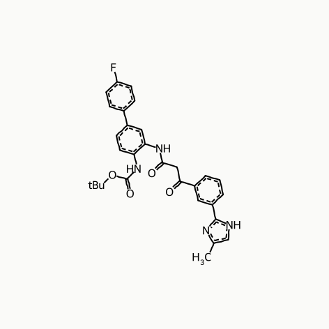 Cc1c[nH]c(-c2cccc(C(=O)CC(=O)Nc3cc(-c4ccc(F)cc4)ccc3NC(=O)OC(C)(C)C)c2)n1